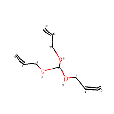 C=CCOC(OCC=C)OCC=C